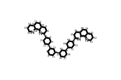 c1cc(-c2ccc(-c3ccc4ccc5cccnc5c4n3)cc2)cc(-c2cccc(-c3ccc(-c4ccc5ccc6cccnc6c5n4)cc3)c2)c1